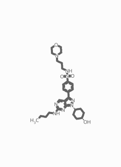 CCCCNc1ncc2c(-c3ccc(S(=O)(=O)NCCCN4CCOCC4)cc3)nn([C@H]3CC[C@@H](O)CC3)c2n1